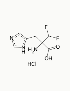 Cl.NC(Cc1cnc[nH]1)(C(=O)O)C(F)F